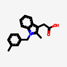 Cc1cccc(Cn2c(C)c(CC(=O)O)c3ccccc32)c1